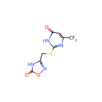 O=c1cc(C(F)(F)F)nc(SCc2noc(=O)[nH]2)[nH]1